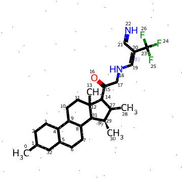 CC1CCC2C(CCC3C2CCC2(C)C(C(=O)CN/C=C(\C=N)C(F)(F)F)C(C)[C@@H](C)C32)C1